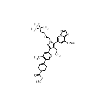 COc1cc(-c2c(CC(F)(F)F)c(-c3cc(C)c(C4=CCN(C(=O)OC(C)(C)C)CC4)cn3)nn2COCC[Si](C)(C)C)cn2ncnc12